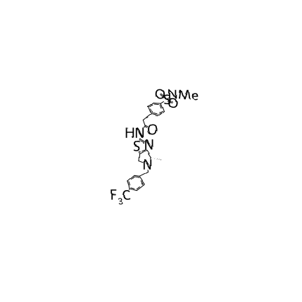 CNS(=O)(=O)c1ccc(CC(=O)Nc2nc3c(s2)CN(Cc2ccc(C(F)(F)F)cc2)[C@H]3C)cc1